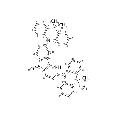 CC1(C)c2ccccc2N(c2ccc3c(n2)C2=C(C=CC(N4c5ccccc5C(C)(C)c5ccccc54)N2)C3=O)c2ccccc21